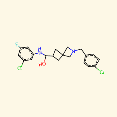 OC(Nc1cc(F)cc(Cl)c1)C1CC2(C1)CN(Cc1ccc(Cl)cc1)C2